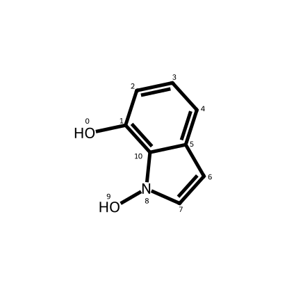 Oc1cccc2ccn(O)c12